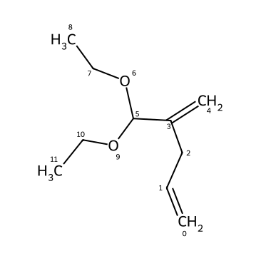 C=CCC(=C)C(OCC)OCC